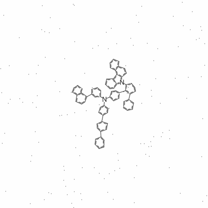 c1ccc(-c2ccc(-c3ccc(N(c4ccc(-c5c(-c6ccccc6)cccc5-n5c6ccccc6c6c7ccccc7ccc65)cc4)c4cccc(-c5cccc6ccccc56)c4)cc3)cc2)cc1